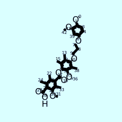 COc1ccc(OCCCOc2c(C)c(C)c(OC(=O)c3c(C)c(C)c(C(=O)O)c(OC)c3C)c(OC)c2C)cc1OC